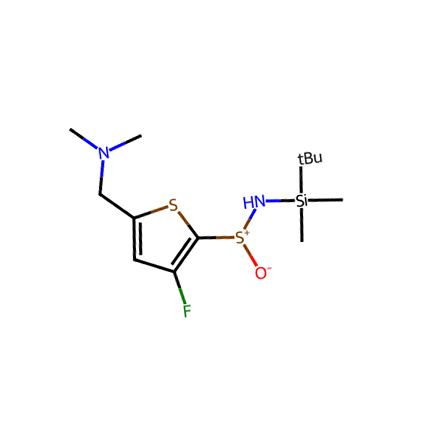 CN(C)Cc1cc(F)c([S+]([O-])N[Si](C)(C)C(C)(C)C)s1